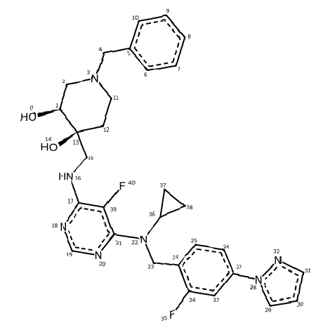 O[C@H]1CN(Cc2ccccc2)CC[C@]1(O)CNc1ncnc(N(Cc2ccc(-n3cccn3)cc2F)C2CC2)c1F